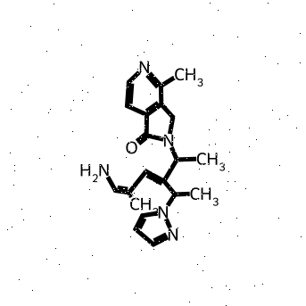 CC(=C/N)/C=C(/C(C)N1Cc2c(ccnc2C)C1=O)C(C)n1cccn1